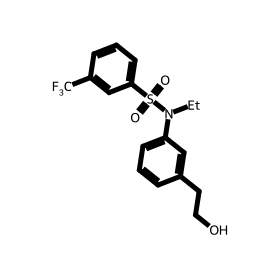 CCN(c1cccc(CCO)c1)S(=O)(=O)c1cccc(C(F)(F)F)c1